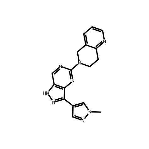 Cn1cc(-c2n[nH]c3cnc(N4CCc5ncccc5C4)nc23)cn1